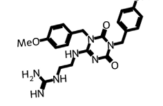 COc1ccc(Cn2c(NCCNC(=N)N)nc(=O)n(Cc3ccc(O)cc3)c2=O)cc1